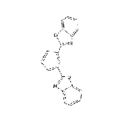 c1cc(-c2nc3ccccc3o2)cc(-c2nc3ccccc3o2)c1